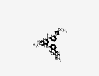 COc1c(Nc2cc(Nc3cccc(N4CC(OC)C4)n3)nc3c2CN(C)N3)cccc1-c1nnn(C)n1